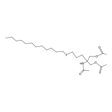 CCCCCCCCCCCCSCCCC(COC(C)=O)(COC(C)=O)NC(C)=O